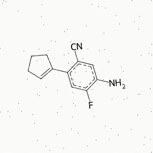 N#Cc1cc(N)c(F)cc1C1=CCCC1